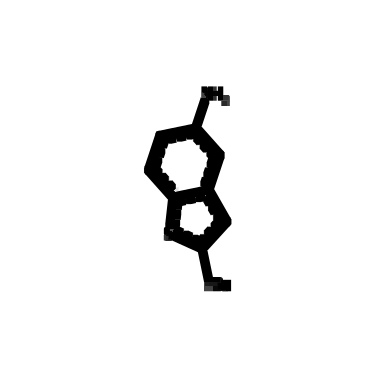 CCCCc1cc2cc(N)ccc2s1